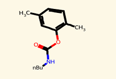 CCCCNC(=O)Oc1cc(C)ccc1C